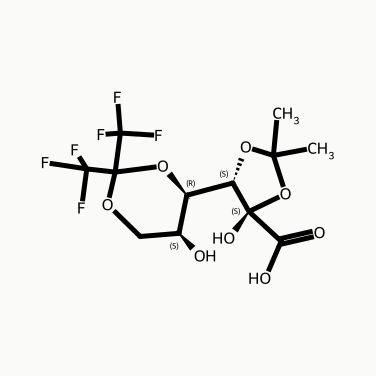 CC1(C)O[C@@H]([C@@H]2OC(C(F)(F)F)(C(F)(F)F)OC[C@@H]2O)[C@@](O)(C(=O)O)O1